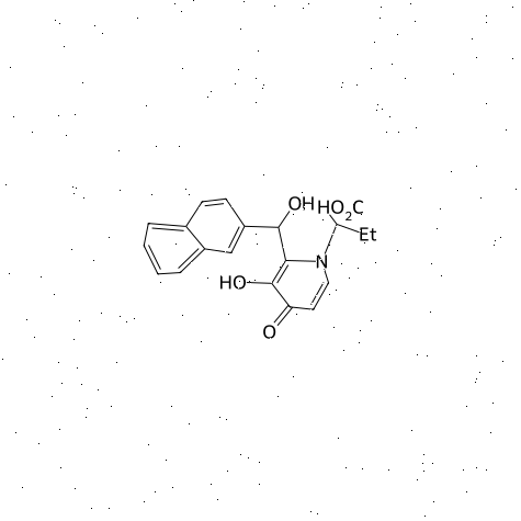 CCC(C(=O)O)n1ccc(=O)c(O)c1C(O)c1ccc2ccccc2c1